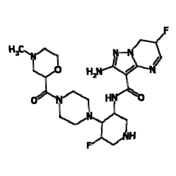 CN1CCOC(C(=O)N2CCN(C3C(F)CNCC3NC(=O)c3c(N)nn4c3N=CC(F)C4)CC2)C1